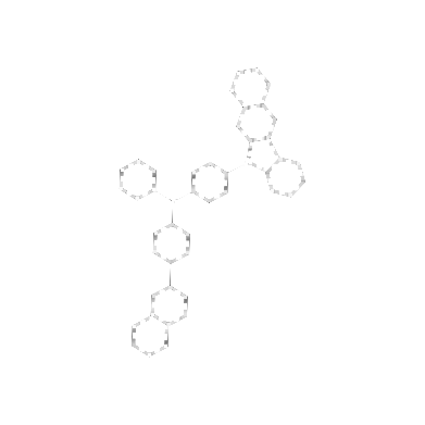 c1ccc(N(c2ccc(-c3ccc4ccccc4c3)cc2)c2ccc(-n3c4ccccc4c4cc5ccccc5cc43)cc2)cc1